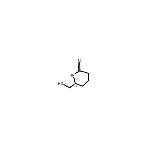 O=C1CCC[C@@H](CO)N1